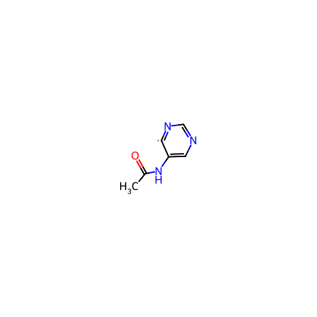 CC(=O)Nc1[c]ncnc1